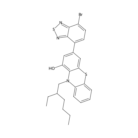 CCCCC(CC)CN1c2ccccc2Sc2cc(-c3ccc(Br)c4nsnc34)cc(O)c21